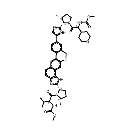 COC(=O)N[C@H](C(=O)N1[C@@H](C)CC[C@H]1c1nc2ccc3cc4c(cc3c2[nH]1)OCc1cc(-c2cnc([C@@H]3[C@H](C)CCN3C(=O)[C@@H](NC(=O)OC)C3CCOCC3)[nH]2)ccc1-4)C(C)C